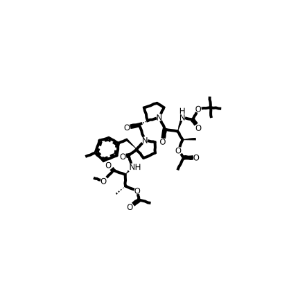 COC(=O)[C@H](NC(=O)[C@@]1(Cc2ccc(C)cc2)CCCN1C(=O)[C@@H]1CCCN1C(=O)[C@@H](NC(=O)OC(C)(C)C)[C@@H](C)OC(C)=O)[C@@H](C)OC(C)=O